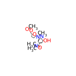 CC(=O)OCC1CCC(N2C3=CC(C(=O)N(C)C)=CC(O)C3N=C2C)O1